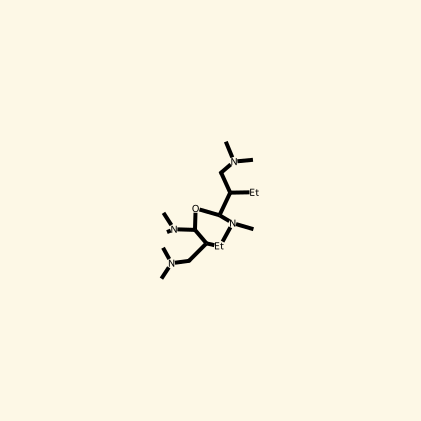 CCC(CN(C)C)C(OC(C(CC)CN(C)C)N(C)C)N(C)C